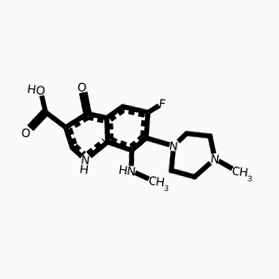 CNc1c(N2CCN(C)CC2)c(F)cc2c(=O)c(C(=O)O)c[nH]c12